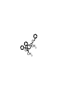 CCCC1(C(O)(c2ccccc2)c2ccccc2)CC[N+](C)(CCOCc2ccccc2)CC1